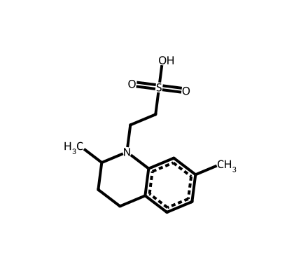 Cc1ccc2c(c1)N(CCS(=O)(=O)O)C(C)CC2